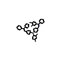 Cc1ccc(N(c2ccc(C=C(c3ccccc3)c3ccccc3)cc2)c2ccc(/C=C(/c3ccccc3)c3ccc(C)c(C)c3)cc2)c(C)c1